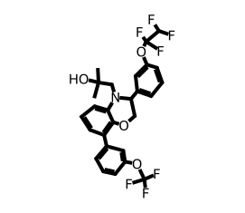 CC(C)(O)CN1c2cccc(-c3cccc(OC(F)(F)F)c3)c2OCC1c1cccc(OC(F)(F)C(F)F)c1